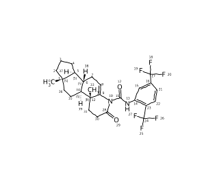 C[C@@]12CCC[C@H]1[C@@H]1CC=C3N(C(=O)Nc4cc(C(F)(F)F)ccc4C(F)(F)F)C(=O)CC[C@]3(C)[C@H]1CC2